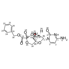 Nc1ccn([C@@H]2O[C@@]34CO[C@@H]2[C@@H]3OP(=O)(C(=O)OCc2ccccc2)OC4)c(=O)n1